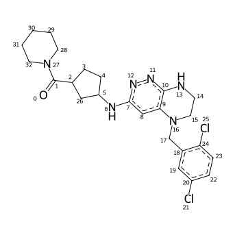 O=C(C1CCC(Nc2cc3c(nn2)NCCN3Cc2cc(Cl)ccc2Cl)C1)N1CCCCC1